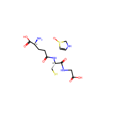 N[C@@H](CCC(=O)N[C@@H](CS)C(=O)NCC(=O)O)C(=O)O.[O-][S+]1C=CNC1